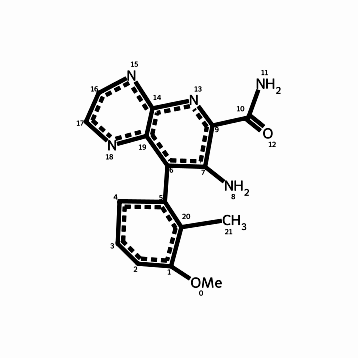 COc1cccc(-c2c(N)c(C(N)=O)nc3nccnc23)c1C